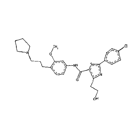 COc1cc(NC(=O)c2sc(-c3ccc(Cl)cc3)nc2CCO)ccc1CCCN1CCCC1